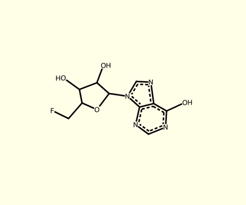 Oc1ncnc2c1ncn2C1OC(CF)C(O)C1O